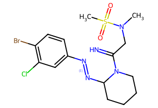 CN(CC(=N)N1CCCCC1/N=N/c1ccc(Br)c(Cl)c1)S(C)(=O)=O